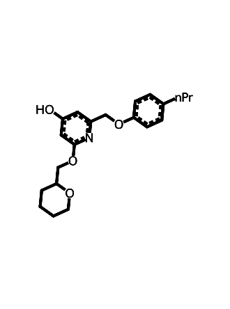 CCCc1ccc(OCc2cc(O)cc(OCC3CCCCO3)n2)cc1